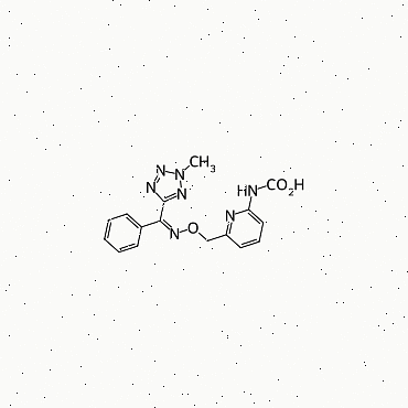 Cn1nnc(/C(=N\OCc2cccc(NC(=O)O)n2)c2ccccc2)n1